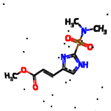 COC(=O)C=Cc1c[nH]c(S(=O)(=O)N(C)C)n1